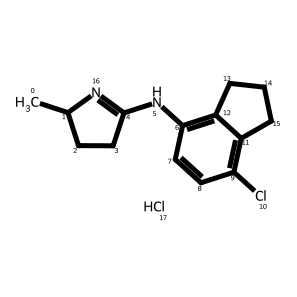 CC1CCC(Nc2ccc(Cl)c3c2CCC3)=N1.Cl